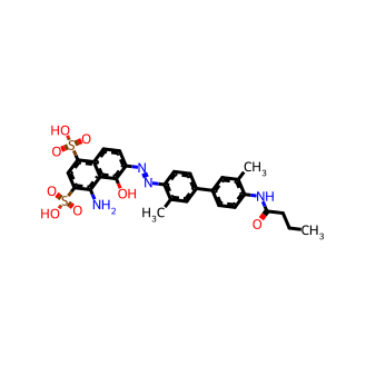 CCCC(=O)Nc1ccc(-c2ccc(N=Nc3ccc4c(S(=O)(=O)O)cc(S(=O)(=O)O)c(N)c4c3O)c(C)c2)cc1C